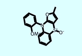 COc1ccccc1N1c2ccccc2[S+]([O-])c2cc(C)oc21